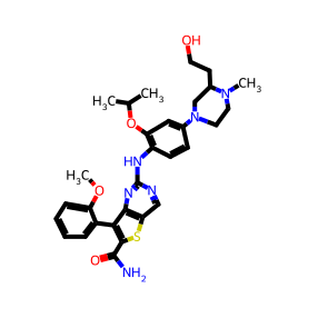 COc1ccccc1-c1c(C(N)=O)sc2cnc(Nc3ccc(N4CCN(C)C(CCO)C4)cc3OC(C)C)nc12